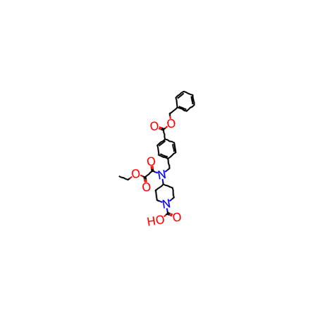 CCOC(=O)C(=O)N(Cc1ccc(C(=O)OCc2ccccc2)cc1)C1CCN(C(=O)O)CC1